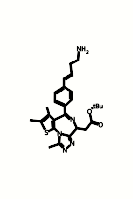 Cc1sc2c(c1C)C(c1ccc(C=CCCN)cc1)=NC(CC(=O)OC(C)(C)C)c1nnc(C)n1-2